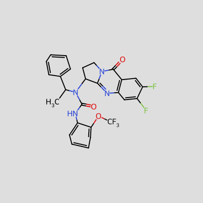 CC(c1ccccc1)N(C(=O)Nc1ccccc1OC(F)(F)F)C1CCn2c1nc1cc(F)c(F)cc1c2=O